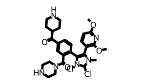 COc1ccc(C2=C(c3ccc(C(=O)C4CCNCC4)cc3C(=O)N3CCNCC3)N(Cl)C(Cl)N2C)c(OC)n1